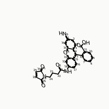 N=c1ccc2c(-c3ccccc3C(=O)O)c3ccc(NC(=O)CCCN4C(=O)C=CC4=O)cc3oc-2c1